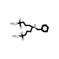 O=C(O)C(Cl)(Cl)CCCC(CCCC(Cl)(Cl)C(=O)O)NCc1ccccc1